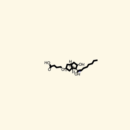 CCCCCC/C=C(/O)[C@H]1[C@@H]2C[C@@H](OCCCC(=O)O)C[C@@H]2C[C@@H]1O